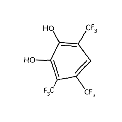 Oc1c(C(F)(F)F)cc(C(F)(F)F)c(C(F)(F)F)c1O